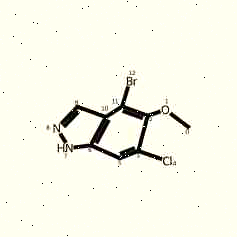 COc1c(Cl)cc2[nH]ncc2c1Br